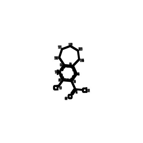 O=C(Cl)c1cc2c(nc1Cl)CCCCC2